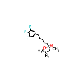 CC[Si](CCCCCc1cc(F)c(F)c(F)c1)(OC)OC